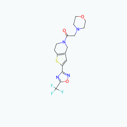 O=C(CN1CCOCC1)N1CCc2sc(-c3noc(C(F)(F)F)n3)cc2C1